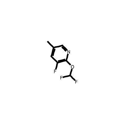 Cc1cnc(OC(F)F)c(F)c1